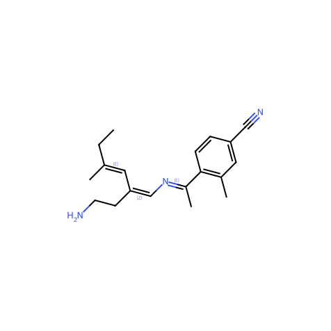 CC/C(C)=C/C(=C\N=C(/C)c1ccc(C#N)cc1C)CCN